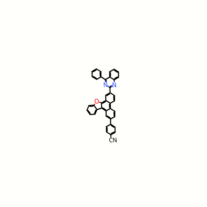 N#Cc1ccc(-c2ccc3c4ccc(-c5nc(-c6ccccc6)c6ccccc6n5)cc4c4oc5ccccc5c4c3c2)cc1